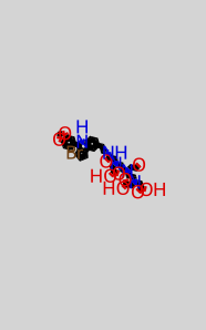 O=CCN(CCN(CC(=O)O)CC(=O)O)CCN(CC(=O)O)CC(=O)NCCc1ccc2c(c1)C1C=CCC1C(c1cc3c(cc1Br)OCO3)N2